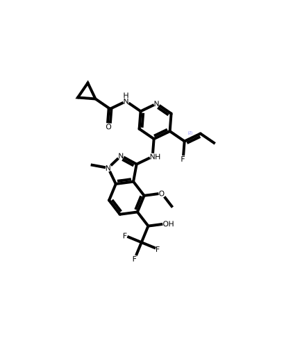 C/C=C(\F)c1cnc(NC(=O)C2CC2)cc1Nc1nn(C)c2ccc(C(O)C(F)(F)F)c(OC)c12